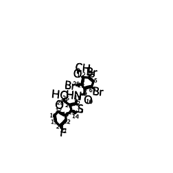 COc1c(Br)cc(Br)c(C(=O)Nc2scc(-c3cccc(F)c3)c2C(=O)O)c1Br